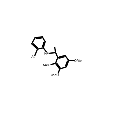 COc1cc(OC)c(OC)c(C(C)Pc2ccccc2C(C)=O)c1